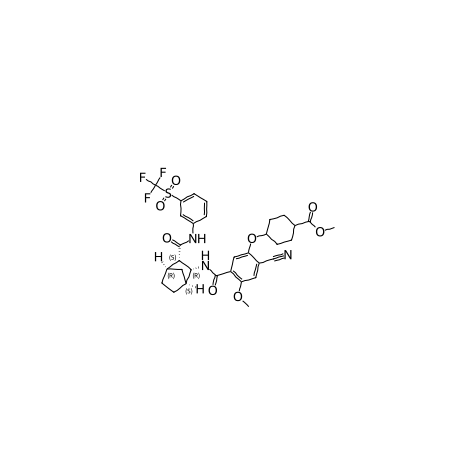 COC(=O)C1CCC(Oc2cc(C(=O)N[C@@H]3[C@H]4CC[C@H](C4)[C@@H]3C(=O)Nc3cccc(S(=O)(=O)C(F)(F)F)c3)c(OC)cc2C#N)CC1